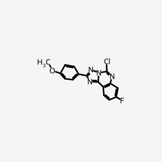 COc1ccc(-c2nc3c4ccc(F)cc4nc(Cl)n3n2)cc1